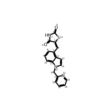 O=C1NC(=O)C(=Cc2cccc3c2ccn3Cc2ccccn2)S1